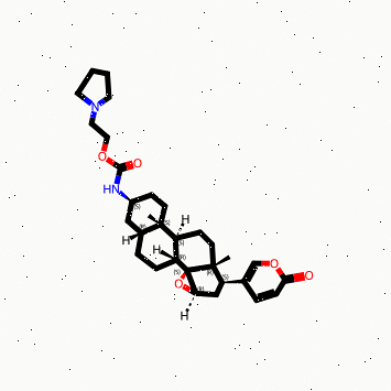 C[C@]12CC[C@H](NC(=O)OCCN3CCCC3)C[C@H]1CC[C@@H]1[C@@H]2CC[C@]2(C)[C@@H](c3ccc(=O)oc3)C[C@H]3O[C@]132